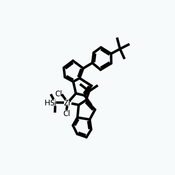 CC1=Cc2c(-c3ccc(C(C)(C)C)cc3)cccc2[CH]1[Zr]([Cl])([Cl])([CH]1C(C(C)C)=Cc2ccccc21)[SiH](C)C